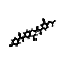 CC(C)Oc1ccc(C(=O)N[C@H](CCO)Cc2ccc(NC(=O)c3ccc(Cl)cc3)cc2)cc1Cl